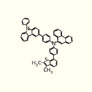 Cc1sc2c(-c3ccc(N(c4ccc(-c5ccc6c(c5)c5ccccc5n6-c5ccccc5)cc4)c4cc5ccccc5c5ccccc45)cc3)cccc2c1C